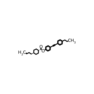 C=CCC[C@H]1CC[C@H](C(=O)Oc2ccc(C#Cc3ccc(CCC)cc3)cc2)CC1